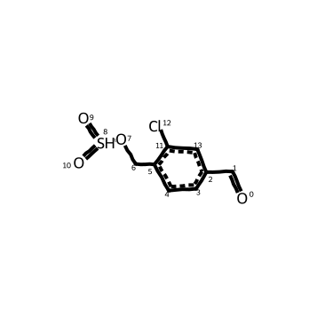 O=Cc1ccc(CO[SH](=O)=O)c(Cl)c1